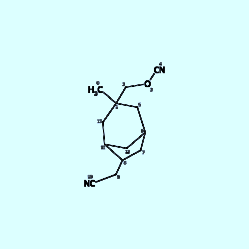 CC1(COC#N)CC2CC(CC#N)C(C2)C1